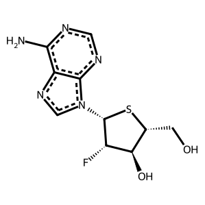 Nc1ncnc2c1ncn2[C@@H]1S[C@H](CO)[C@@H](O)[C@@H]1F